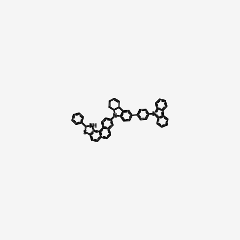 C1=CC2c3cc(-c4ccc(-n5c6ccccc6c6ccccc65)cc4)ccc3N(c3ccc4c(ccc5ccc6c(c54)NC(c4ccccc4)S6)c3)C2C=C1